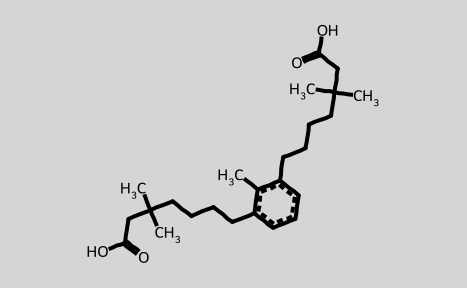 Cc1c(CCCCC(C)(C)CC(=O)O)cccc1CCCCC(C)(C)CC(=O)O